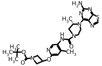 Cc1cc(OC2CN(C(=O)OC(C)(C)C)C2)ncc1NC(=O)N1CCN(c2nc(N)nc3scnc23)[C@@H](C)C1